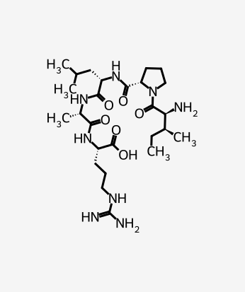 CC[C@H](C)[C@H](N)C(=O)N1CCC[C@H]1C(=O)N[C@@H](CC(C)C)C(=O)N[C@@H](C)C(=O)N[C@@H](CCCNC(=N)N)C(=O)O